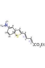 CCOC(=O)/C=C/C=C/c1cc2cc(N(C)C)ccc2s1